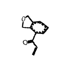 C=CC(=O)c1cccc2c1COC2